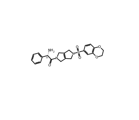 N[C@H](C(=O)N1CC2=C(C1)CN(S(=O)(=O)c1ccc3c(c1)OCCO3)C2)c1ccccc1